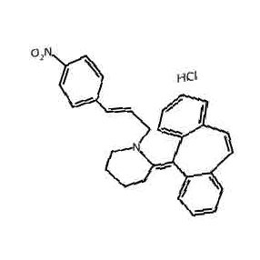 Cl.O=[N+]([O-])c1ccc(/C=C/CN2CCCCC2=C2c3ccccc3C=Cc3ccccc32)cc1